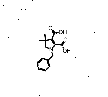 CC1(C)CN(Cc2ccccc2)C(C(=O)O)=C1C(=O)O